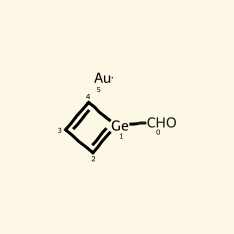 O=[CH][Ge]1=[CH]C=[CH]1.[Au]